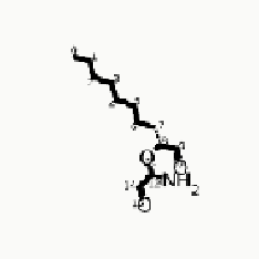 CCCCCCCC[C@H](C=O)O[C@@H](N)C=O